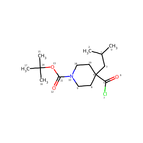 CC(C)CC1(C(=O)Cl)CCN(C(=O)OC(C)(C)C)CC1